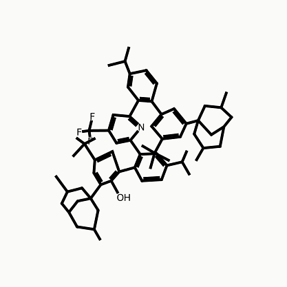 CC1CC2CC(C)CC(c3cc(-c4ccc(C(C)C)cc4-c4cc(C(F)(F)F)cc(-c5cc(C(C)C)ccc5-c5cc(C(C)(C)C)cc(C67CC(C)CC(CC(C)C6)C7)c5O)n4)cc(C(C)(C)C)c3)(C1)C2